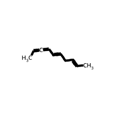 CC=C=CC=CCC=CC